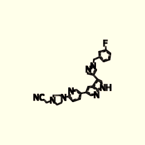 N#CCN1CCN(c2ccc(-c3cnc4[nH]cc(-c5cnn(Cc6cccc(F)c6)c5)c4c3)cn2)CC1